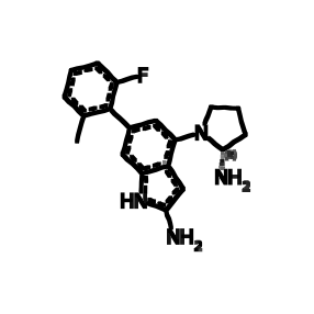 Cc1cccc(F)c1-c1cc(N2CCC[C@@H]2N)c2cc(N)[nH]c2c1